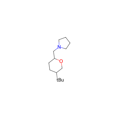 CC(C)(C)C1CCC(CN2CCCC2)OC1